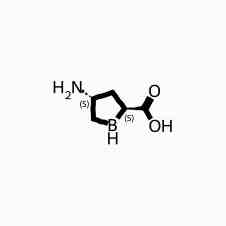 N[C@H]1CB[C@H](C(=O)O)C1